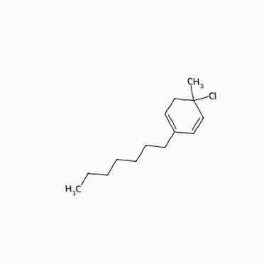 CCCCCCCC1=CCC(C)(Cl)C=C1